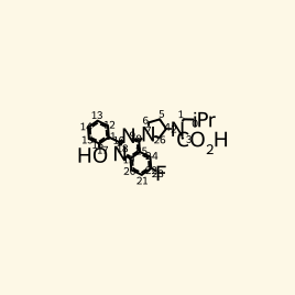 CC(C)CN(C(=O)O)[C@@H]1CCN(c2nc(-c3ccccc3O)nc3ccc(F)cc23)C1